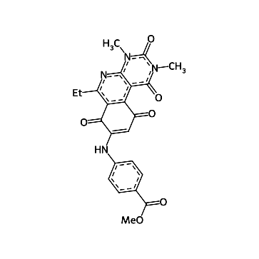 CCc1nc2c(c3c1C(=O)C(Nc1ccc(C(=O)OC)cc1)=CC3=O)c(=O)n(C)c(=O)n2C